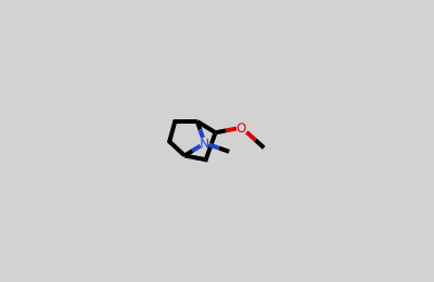 COC1CC2CCC1N2C